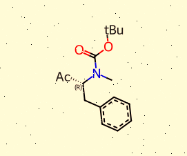 CC(=O)[C@@H](Cc1ccccc1)N(C)C(=O)OC(C)(C)C